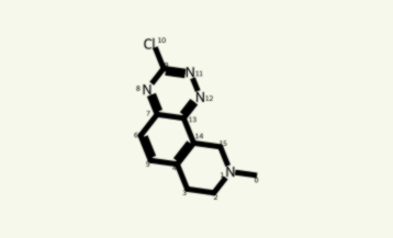 CN1CCc2ccc3nc(Cl)nnc3c2C1